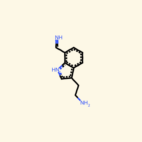 N=Cc1cccc2c(CCN)c[nH]c12